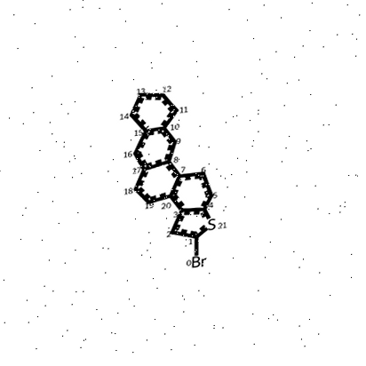 Brc1cc2c(ccc3c4cc5ccccc5cc4ccc23)s1